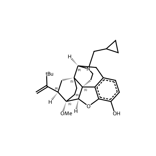 C=C([C@H]1C[C@@]23CC[C@@]1(OC)[C@@H]1Oc4c(O)ccc5c4[C@@]12CCN(CC1CC1)[C@@H]3C5)C(C)(C)C